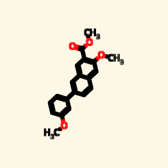 COC(=O)c1cc2cc(-c3cccc(OC)c3)ccc2cc1OC